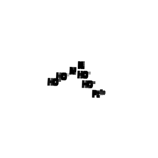 [N].[N].[OH-].[OH-].[OH-].[OH-].[Pt+4]